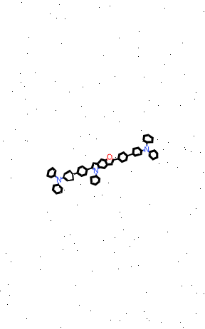 C1=CC(c2ccc(-c3cc4cc5oc(-c6ccc(-c7ccc(N(c8ccccc8)c8ccccc8)cc7)cc6)cc5cc4n3-c3ccccc3)cc2)CC=C1N(c1ccccc1)c1ccccc1